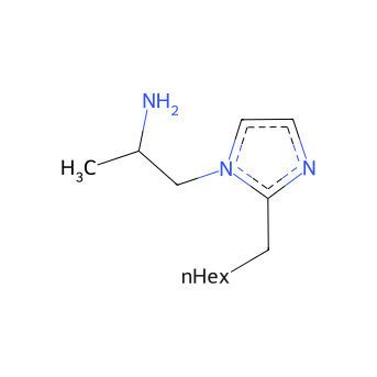 CCCCCCCc1nccn1CC(C)N